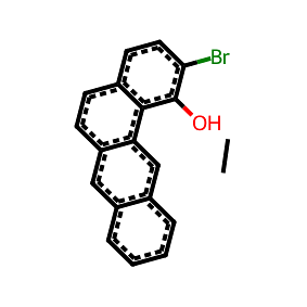 CC.Oc1c(Br)ccc2ccc3cc4ccccc4cc3c12